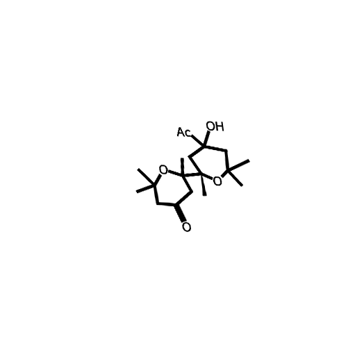 CC(=O)C1(O)CC(C)(C)O[C@](C)(C2(C)CC(=O)CC(C)(C)O2)C1